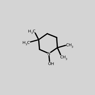 CC1(C)CCC(C)(C)N(O)C1